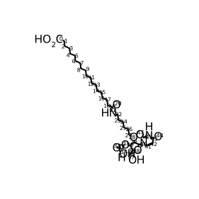 O=C(O)CCCCCCCCCCCCCCCCCCC(=O)NCCCCCCOC1C(O[PH](=O)O)C(CO)OC1n1ccc(=O)[nH]c1=O